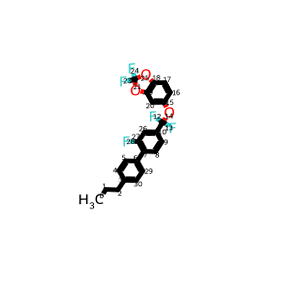 CCCc1ccc(-c2ccc(C(F)(F)Oc3ccc4c(c3)OC(F)(F)O4)cc2F)cc1